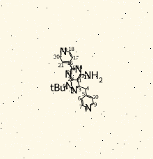 CC(C)(C)n1nc(Cc2ccncc2)c2c(N)nc(-c3ccncc3)nc21